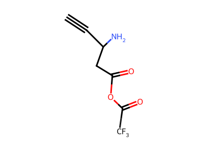 C#CC(N)CC(=O)OC(=O)C(F)(F)F